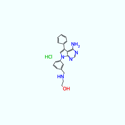 Cl.Nc1ncnc2c1c(-c1ccccc1)cn2-c1cccc(CNCCO)c1